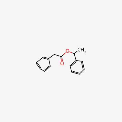 CC(OC(=O)Cc1ccccc1)c1ccccc1